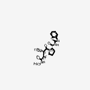 CCCC[C@@H](C(=O)N1CCC[C@H]1C(=O)Nc1nc2ccccc2s1)[C@@H](F)C(=O)NO